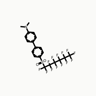 CN(C)c1ccc(-c2ccc(S(=O)(=O)C(F)(F)C(F)(F)C(F)(F)C(F)(F)C(F)(F)C(F)(F)F)cc2)cc1